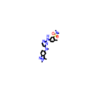 Cc1ccc(Nc2nccc(N(C)c3ccc4nn(C)c(C)c4c3)n2)cc1S(=O)(=O)N(C)C